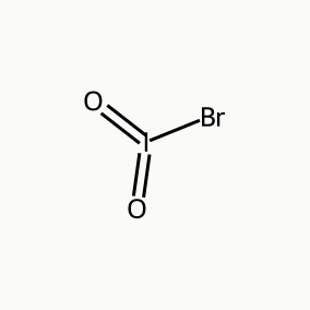 O=I(=O)Br